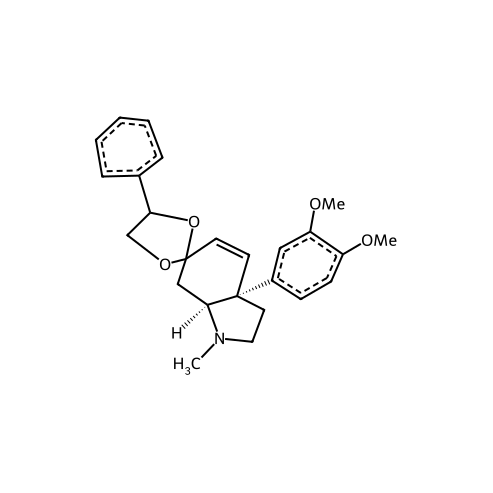 COc1ccc([C@@]23C=CC4(C[C@@H]2N(C)CC3)OCC(c2ccccc2)O4)cc1OC